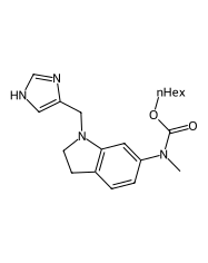 CCCCCCOC(=O)N(C)c1ccc2c(c1)N(Cc1c[nH]cn1)CC2